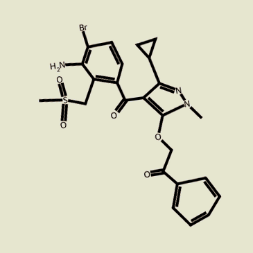 Cn1nc(C2CC2)c(C(=O)c2ccc(Br)c(N)c2CS(C)(=O)=O)c1OCC(=O)c1ccccc1